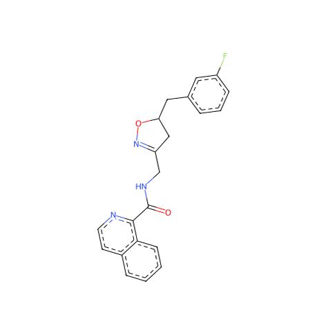 O=C(NCC1=NOC(Cc2cccc(F)c2)C1)c1nccc2ccccc12